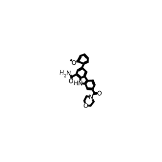 COc1ccccc1-c1cc(C(N)=O)c2[nH]c3cc(C(=O)N4CCOCC4)ccc3c2c1